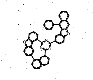 c1ccc(-c2ccc3oc4cccc(-c5nc(-c6ccccc6)nc(-c6ccc7oc8cc9ccccc9c(-c9ccccc9)c8c7c6)n5)c4c3c2)cc1